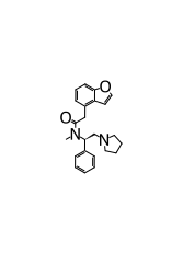 CN(C(=O)Cc1cccc2occc12)[C@@H](CN1CCCC1)c1ccccc1